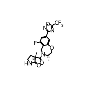 C[C@H]1COc2cc(-c3noc(C(F)(F)F)n3)cc(F)c2CN1C(=O)[C@@]1(C)CCNC1=O